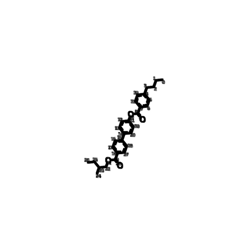 CCCCc1ccc(C(=O)Oc2ccc(-c3ccc(C(=O)OCC(C)CC)cc3)cc2)cc1